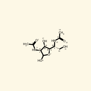 CC(=O)N[C@@H]1C(O)O[C@H]([C@@H](CO)NC(C)=O)[C@@H]1O